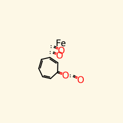 O=c1cccccc1.[C]=O.[C]=O.[C]=O.[Fe]